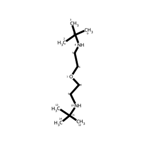 CC(C)(C)NCCOCCNC(C)(C)C